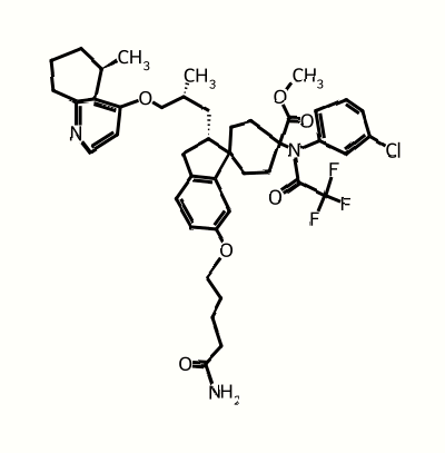 COC(=O)C1(N(C(=O)C(F)(F)F)c2cccc(Cl)c2)CCC2(CC1)c1cc(OCCCCC(N)=O)ccc1C[C@@H]2C[C@@H](C)COc1ccnc2c1[C@H](C)CCC2